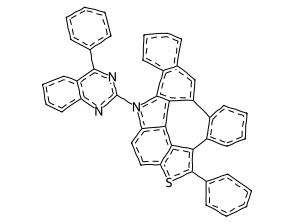 c1ccc(-c2sc3ccc4c5c3c2-c2ccccc2-c2cc3ccccc3c(c25)n4-c2nc(-c3ccccc3)c3ccccc3n2)cc1